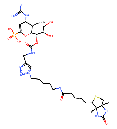 CC(=O)N[C@H]1[C@H]([C@H](OC(=O)NCc2cn(CCCCCNC(=O)CCCC[C@@H]3SC[C@@H]4NC(=O)N[C@@H]43)nn2)[C@H](O)CO)OC(P(=O)(O)O)=C[C@@H]1NC(=N)N